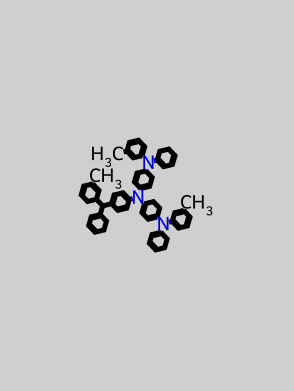 CC1=CC(C(C2=CC=CCC2)c2ccc(N(C3=CCC(N(C4=CC=CCC4)c4cccc(C)c4)C=C3)C3=CC=C(N(C4=CC=CCC4)c4cccc(C)c4)CC3)cc2)CC=C1